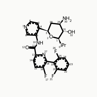 CC(C)[C@H]1O[C@@H](c2ccncc2NC(=O)c2ccc(F)c(-c3c(F)cccc3F)n2)C[C@@H](N)[C@@H]1O